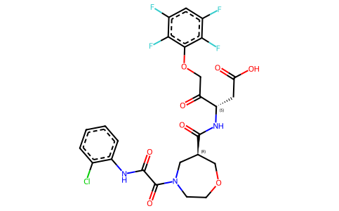 O=C(O)C[C@H](NC(=O)[C@H]1COCCN(C(=O)C(=O)Nc2ccccc2Cl)C1)C(=O)COc1c(F)c(F)cc(F)c1F